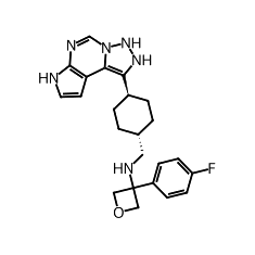 Fc1ccc(C2(NC[C@H]3CC[C@H](C4=C5c6cc[nH]c6N=CN5NN4)CC3)COC2)cc1